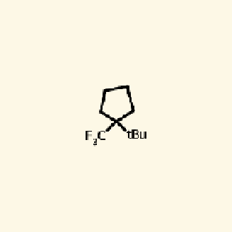 CC(C)(C)C1(C(F)(F)F)CCCC1